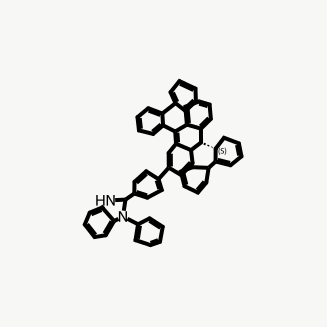 C1=CCC(C2=CC=CC[C@H]2C2c3ccccc3C(c3ccccc3-c3ccccc3)=C3C=C(c4ccc(C5Nc6ccccc6N5c5ccccc5)cc4)C=CC32)C=C1